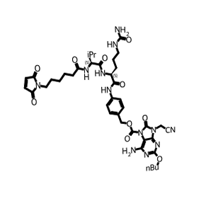 CCCCOc1nc(N)c2c(n1)n(CC#N)c(=O)n2C(=O)OCc1ccc(NC(=O)[C@H](CCCNC(N)=O)NC(=O)[C@@H](NC(=O)CCCCCN2C(=O)C=CC2=O)C(C)C)cc1